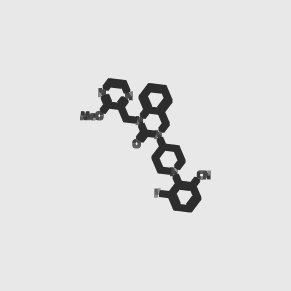 COc1nccnc1CN1C(=O)N(C2CCN(c3c(F)cccc3C#N)CC2)Cc2ccccc21